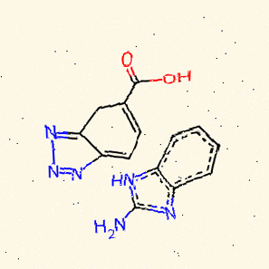 Nc1nc2ccccc2[nH]1.O=C(O)C1=CC=C2N=NN=C2C1